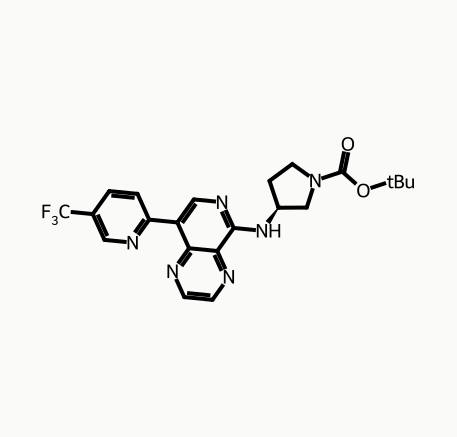 CC(C)(C)OC(=O)N1CC[C@H](Nc2ncc(-c3ccc(C(F)(F)F)cn3)c3nccnc23)C1